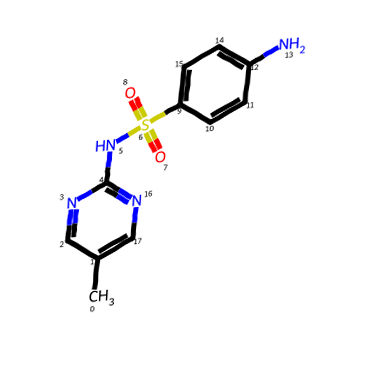 Cc1cnc(NS(=O)(=O)c2ccc(N)cc2)nc1